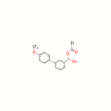 CCC(=O)OC(O)c1cccc(-c2ccc(OC(F)(F)F)cc2)c1